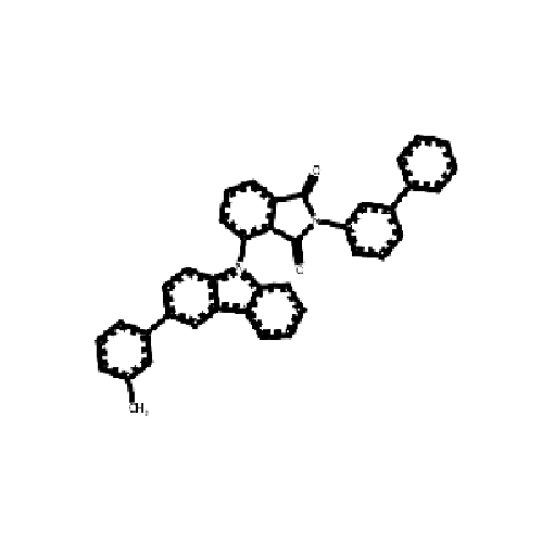 Cc1cccc(-c2ccc3c(c2)c2ccccc2n3-c2cccc3c2C(=O)N(c2cccc(-c4ccccc4)c2)C3=O)c1